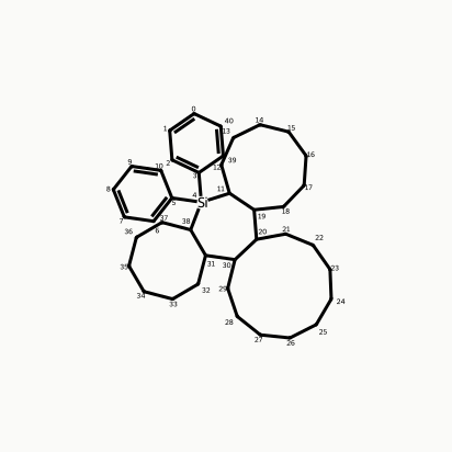 c1ccc([Si]2(c3ccccc3)C3CCCCCCCC3C3CCCCCCCCCC3C3CCCCCCC32)cc1